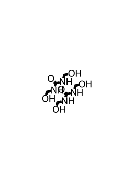 O=C(NCO)NCO.O=C(NCO)NCO